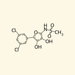 CS(=O)(=O)Nc1oc(-c2cc(Cl)cc(Cl)c2)c(O)c1O